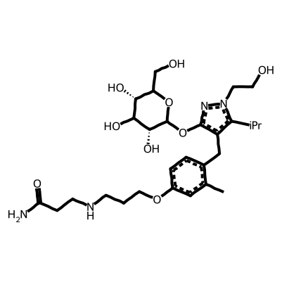 Cc1cc(OCCCNCCC(N)=O)ccc1Cc1c(OC2OC(CO)[C@@H](O)C(O)[C@H]2O)nn(CCO)c1C(C)C